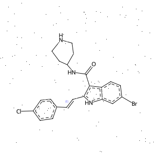 O=C(NC1CCNCC1)c1c(/C=C/c2ccc(Cl)cc2)[nH]c2cc(Br)ccc12